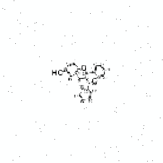 O=C1C(=Cc2cccc(O)c2)C(c2ccccc2)Oc2ccccc21